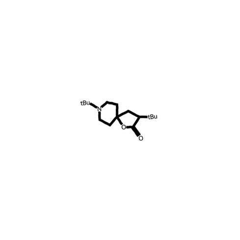 CC(C)(C)C1CC2(CCN(C(C)(C)C)CC2)OC1=O